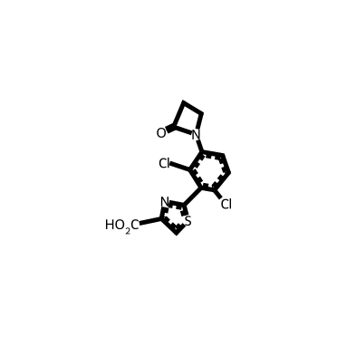 O=C(O)c1csc(-c2c(Cl)ccc(N3CCC3=O)c2Cl)n1